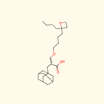 CCCCC1(CCCCOC=C(CC23CC4CC(CC(C4)C2)C3)C(=O)O)CCO1